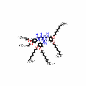 CCCCCCCCCCCCCCCCCCOc1ccc(Nc2nc(Nc3ccc(OCCCCCCCCCCCCCCCCCC)c(OCCCCCCCCCCCCCCCCCC)c3)nc(Nc3nc4cc(OCCCCCCCCCCCC)c(OCCCCCCCCCCCC)cc4[nH]3)n2)cc1OCCCCCCCCCCCCCCCCCC